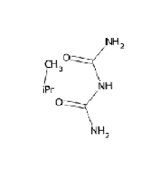 CC(C)C.NC(=O)NC(N)=O